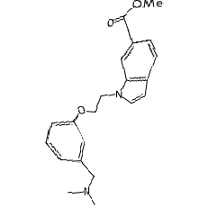 COC(=O)c1ccc2ccn(CCOc3cccc(CN(C)C)c3)c2c1